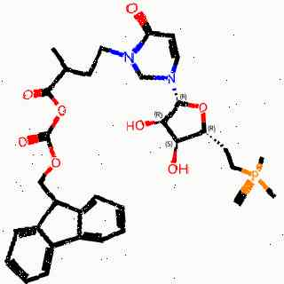 C=P(C)(C)CC[C@H]1O[C@@H](N2C=CC(=O)N(CCC(C)C(=O)OC(=O)OCC3c4ccccc4-c4ccccc43)C2)[C@H](O)[C@@H]1O